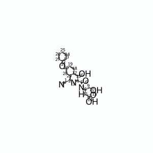 N#Cc1nc(C(=O)N[C@@H](CO)CC(=O)O)c(O)c2ccc(Oc3ccccc3)cc12